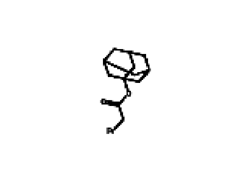 CC(C)CC(=O)OC12CC3CC(CC(C3)C1)C2